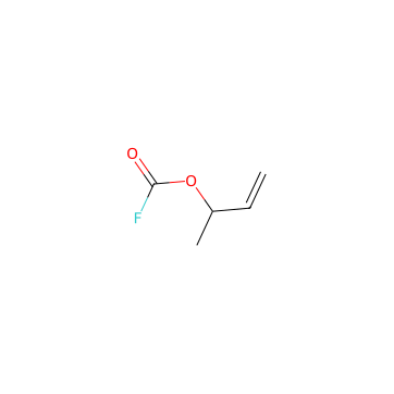 C=CC(C)OC(=O)F